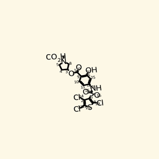 O=C(OC1CCN(C(=O)O)C1)c1ccc(NS(=O)(=O)c2c(Cl)sc(Cl)c2Cl)cc1O